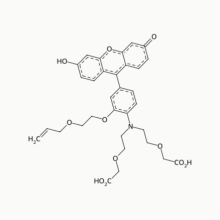 C=CCOCCOc1cc(-c2c3ccc(=O)cc-3oc3cc(O)ccc23)ccc1N(CCOCC(=O)O)CCOCC(=O)O